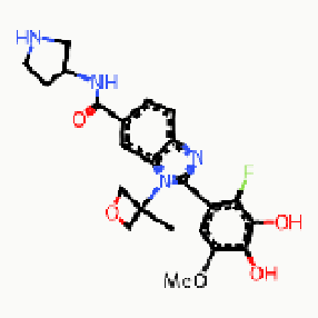 COc1cc(-c2nc3ccc(C(=O)NC4CCNC4)cc3n2C2(C)COC2)c(F)c(O)c1O